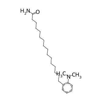 CN(C)c1ccccc1CCCCCCCCCCCCCCCC(N)=O